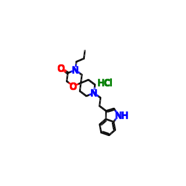 CCCN1CC2(CCN(CCc3c[nH]c4ccccc34)CC2)OCC1=O.Cl